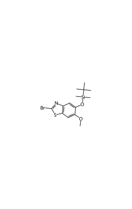 COc1cc2sc(Br)nc2cc1O[Si](C)(C)C(C)(C)C